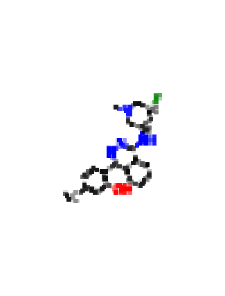 CN1C[C@H](F)C[C@@H](Nc2nnc(-c3ccc(C#N)cc3O)c3ccccc23)C1